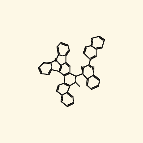 CC1c2c(ccc3ccccc23)-c2c(cc3c4ccccc4n4c5ccccc5c2c34)C1c1nc(-c2ccc3ccccc3c2)nc2ccccc12